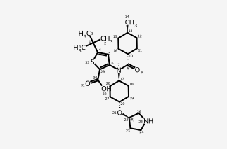 CC(C)(C)c1cc(N(C(=O)[C@H]2CC[C@H](C)CC2)[C@H]2CC[C@H](O[C@@H]3CCNC3)CC2)c(C(=O)O)s1